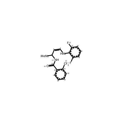 CNC(/C=C\Nc1c(F)cccc1F)NC(=O)c1ccccc1C(F)(F)F